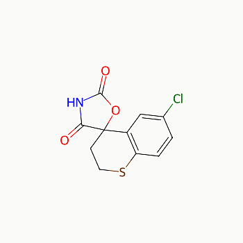 O=C1NC(=O)C2(CCSc3ccc(Cl)cc32)O1